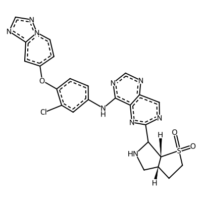 O=S1(=O)CC[C@@H]2CNC(c3ncc4ncnc(Nc5ccc(Oc6ccn7ncnc7c6)c(Cl)c5)c4n3)[C@@H]21